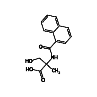 CC(CO)(NC(=O)c1cccc2ccccc12)C(=O)O